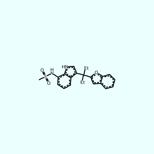 CCC(CC)(c1cc2ccccc2o1)c1c[nH]c2c(NS(C)(=O)=O)cccc12